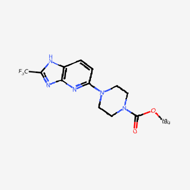 CC(C)(C)OC(=O)N1CCN(c2ccc3[nH]c(C(F)(F)F)nc3n2)CC1